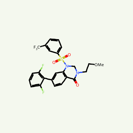 COCCN1CN(S(=O)(=O)c2cccc(C(F)(F)F)c2)c2cc(-c3c(F)cccc3F)ccc2C1=O